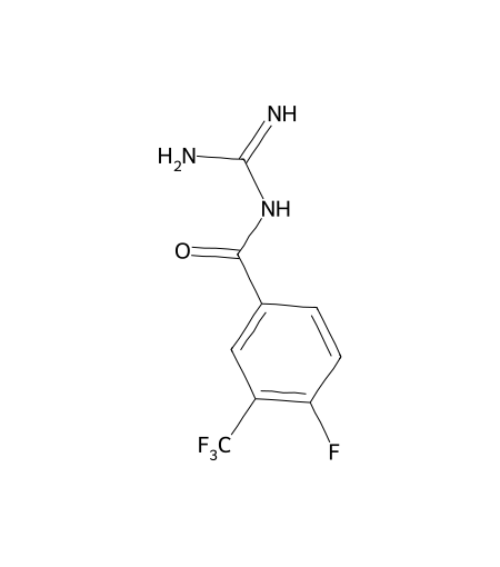 N=C(N)NC(=O)c1ccc(F)c(C(F)(F)F)c1